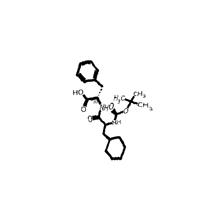 CC(C)(C)OC(=O)NC(CC1CCCCC1)C(=O)N[C@@H](Cc1ccccc1)C(=O)O